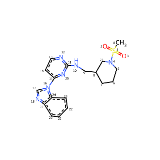 CS(=O)(=O)N1CCCC(CNc2nccc(-n3cnc4ccccc43)n2)C1